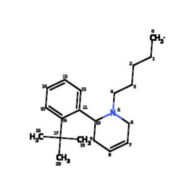 [CH2]CCCCN1CC=CCC1c1ccccc1C(C)(C)C